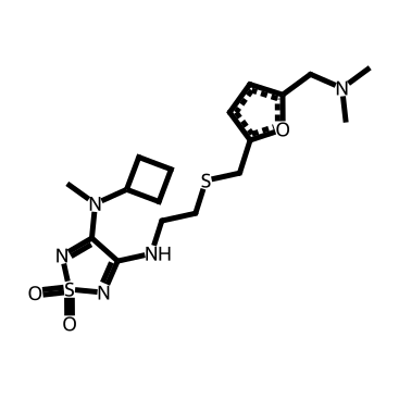 CN(C)Cc1ccc(CSCCNC2=NS(=O)(=O)N=C2N(C)C2CCC2)o1